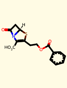 O=C(O)C1=C(CCOC(=O)c2ccccc2)S[C@@H]2CC(=O)N12